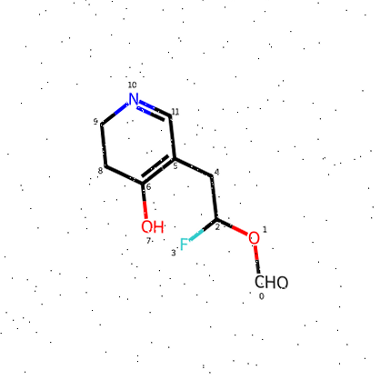 O=COC(F)CC1=C(O)CCN=C1